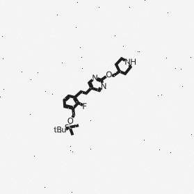 CC(C)(C)[Si](C)(C)OCc1cccc(CCc2cnc(OCC3CCNCC3)nc2)c1F